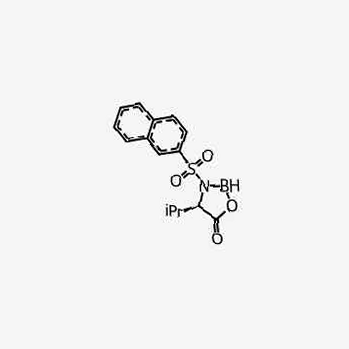 CC(C)[C@@H]1C(=O)OBN1S(=O)(=O)c1ccc2ccccc2c1